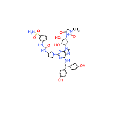 CN1CC(=O)N([C@H]2C[C@@H](n3cnc4c(NCC(c5ccc(O)cc5)c5ccc(O)cc5)nc(N5CCC(NC(=O)Nc6cccc(S(N)(=O)=O)c6)C5)nc43)[C@H](O)[C@@H]2O)C1=O